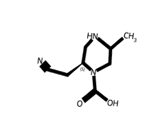 CC1CN(C(=O)O)[C@@H](CC#N)CN1